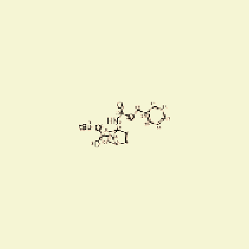 CC(C)(C)OC(=O)N1C2CCC1(NC(=O)OCc1ccccc1)CC2